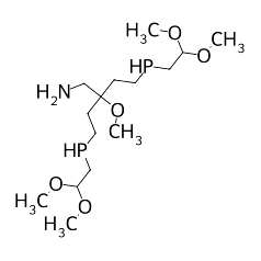 COC(CPCCC(CN)(CCPCC(OC)OC)OC)OC